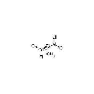 O.[Cl][Al]([Cl])[Cl].[Cl][Co]([Cl])[Cl]